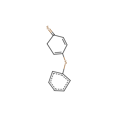 S=C1C=CC(Sc2cc[c]cc2)=CC1